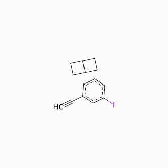 C#Cc1cccc(I)c1.C1CC2CCC12